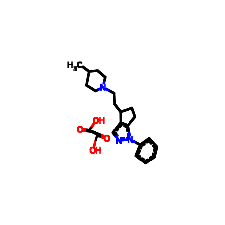 CC1CCN(CCC2CCc3c2cnn3-c2ccccc2)CC1.O=C(O)C(=O)O